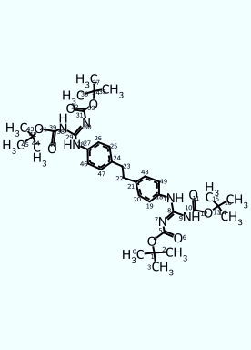 CC(C)(C)OC(=O)N=C(NC(=O)OC(C)(C)C)Nc1ccc(CCc2ccc(NC(=NC(=O)OC(C)(C)C)NC(=O)OC(C)(C)C)cc2)cc1